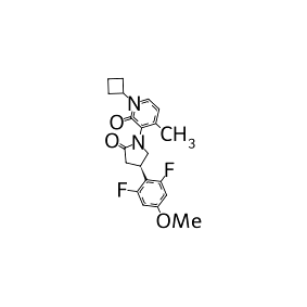 COc1cc(F)c([C@H]2CC(=O)N(c3c(C)ccn(C4CCC4)c3=O)C2)c(F)c1